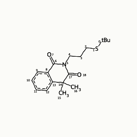 CC(C)(C)SCCCN1C(=O)c2ccccc2C(C)(C)C1=O